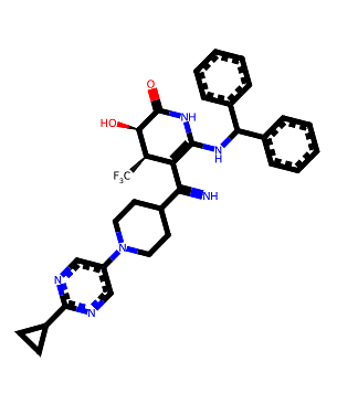 N=C(C1=C(NC(c2ccccc2)c2ccccc2)NC(=O)[C@H](O)[C@@H]1C(F)(F)F)C1CCN(c2cnc(C3CC3)nc2)CC1